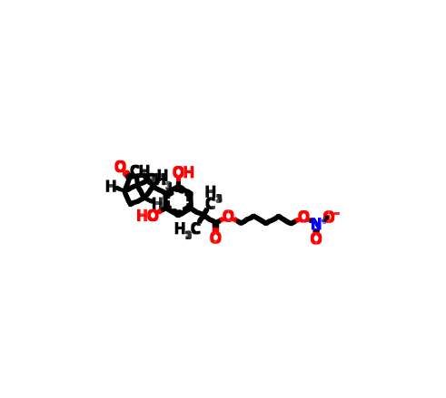 CC(C)(C(=O)OCCCCCO[N+](=O)[O-])c1cc(O)c([C@H]2CC(=O)[C@H]3C[C@@H]2C3(C)C)c(O)c1